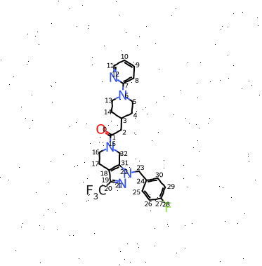 O=C(CC1CCN(c2ccccn2)CC1)N1CCc2c(C(F)(F)F)nn(Cc3ccc(F)cc3)c2C1